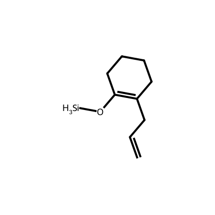 C=CCC1=C(O[SiH3])CCCC1